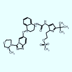 C[C@H]1COCCN1c1nnc2ccc(O[C@@H]3CC[C@H](NC(=O)NC4=CC(C(C)(C)C)=NC4CCOS(C)(=O)=O)c4ccccc43)cn12